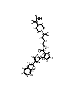 CNC(=O)C1CCN(C(=O)CCCNC(=O)c2sccc2-c2nc(-c3cc4ccccc4o3)cs2)CC1